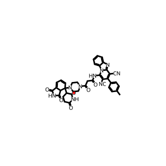 Cc1ccc(-c2c(C#N)c(NC(=O)CC(=O)N3CCN(C4(C5CCC(=O)NC5=O)C=CC=C5C(=O)NC(=O)C54)CC3)n3c(nc4ccccc43)c2C#N)cc1